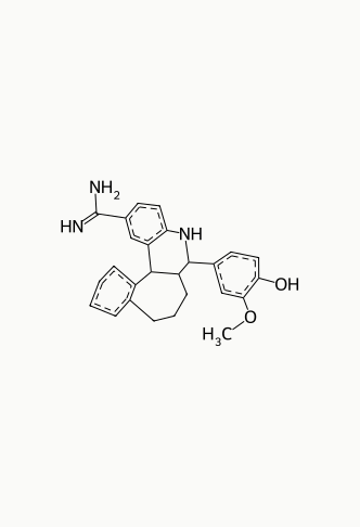 COc1cc(C2Nc3ccc(C(=N)N)cc3C3c4ccccc4CCCC23)ccc1O